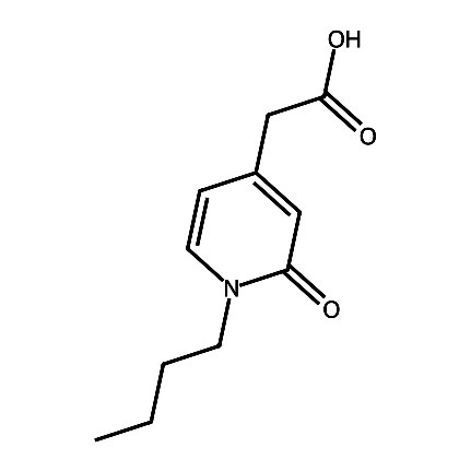 CCCCn1ccc(CC(=O)O)cc1=O